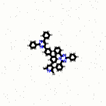 Cc1cc(-c2ccc(-c3ccccc3-c3nc(-c4ccccc4)nc(-c4ccccc4)n3)c(-c3ccc(-c4cc(-c5ccccc5)nc(-c5ccccc5)n4)cc3)c2)cc(C)n1